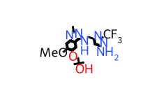 COc1cc2nc(C)nc(NCc3cc(N)nc(C(F)(F)F)n3)c2cc1OCC(C)(C)O